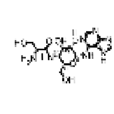 N[C@H](CO)C(=O)N[C@@H]1[C@@H](O)[C@H](O)[C@@H](Nc2ncnc3nc[nH]c23)O[C@H]1CO